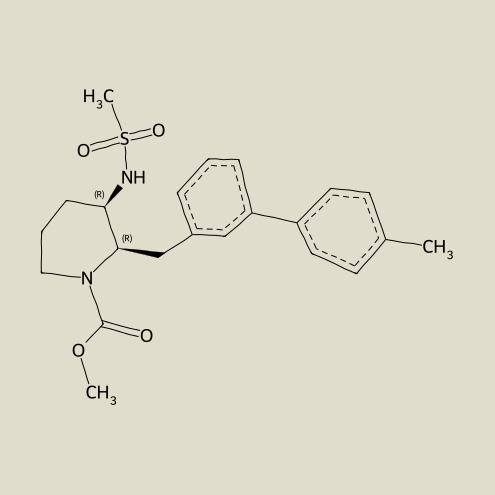 COC(=O)N1CCC[C@@H](NS(C)(=O)=O)[C@H]1Cc1cccc(-c2ccc(C)cc2)c1